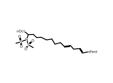 CCCCCC=CCC=CCCCCCCCC(CCCCCCCC)N(S(C)(=O)=O)S(C)(=O)=O